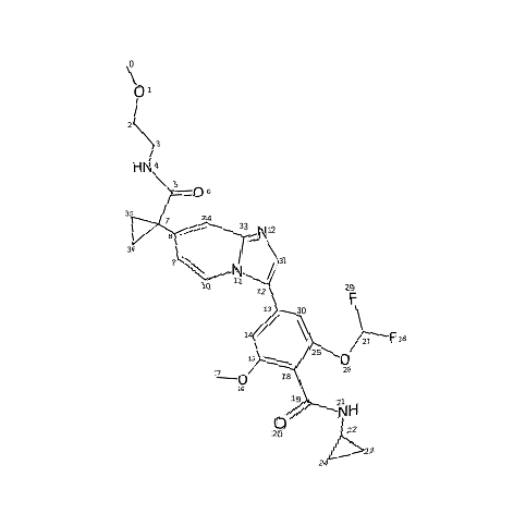 COCCNC(=O)C1(c2ccn3c(-c4cc(OC)c(C(=O)NC5CC5)c(OC(F)F)c4)cnc3c2)CC1